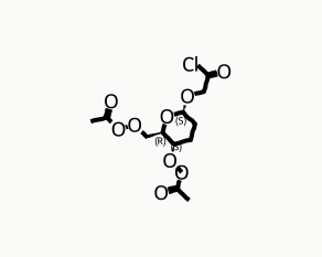 CC(=O)OOC[C@H]1O[C@H](OCC(=O)Cl)CC[C@@H]1OOC(C)=O